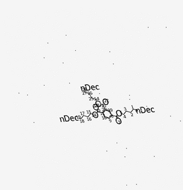 CCCCCCCCCCCCCCOC(=O)c1ccc(C(=O)OCCCCCCCCCCCCCC)c(C(=O)OCCCCCCCCCCCCCC)c1